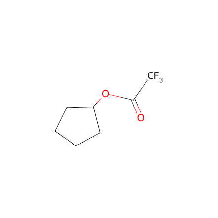 O=C(OC1CCCC1)C(F)(F)F